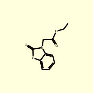 CCOC(=O)Cn1c(=O)oc2ccccc21